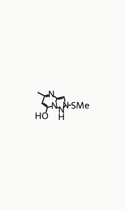 CSN1C=C2N=C(C)C=C(O)N2N1